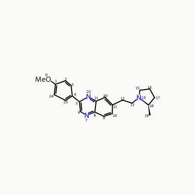 COc1ccc(-c2cnc3ccc(CCN4CCC[C@H]4C)cc3n2)cc1